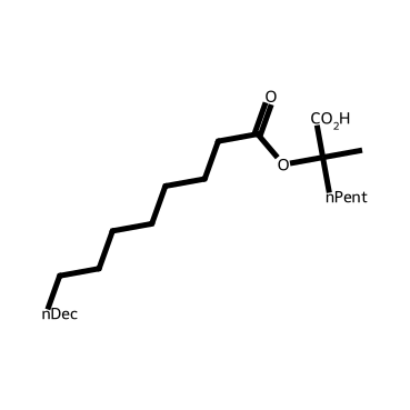 CCCCCCCCCCCCCCCCCC(=O)OC(C)(CCCCC)C(=O)O